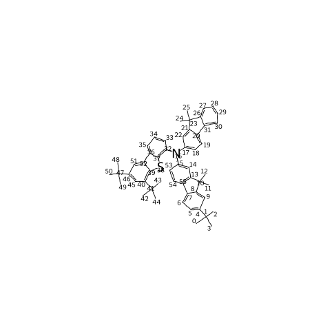 CC(C)(C)c1ccc2c(c1)C(C)(C)c1cc(N(c3ccc4c(c3)C(C)(C)c3ccccc3-4)c3cccc4c3sc3c(C(C)(C)C)cc(C(C)(C)C)cc34)ccc1-2